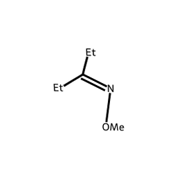 CCC(CC)=NOC